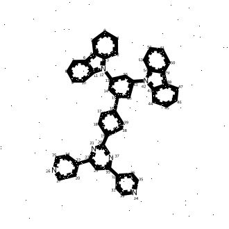 c1ccc2c(c1)c1ccccc1n2-c1cc(-c2ccc(-c3nc(-c4ccncc4)cc(-c4ccncc4)n3)cc2)cc(-n2c3ccccc3c3ccccc32)c1